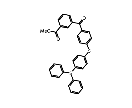 COC(=O)c1cccc(C(=O)c2ccc(Sc3ccc([S+](c4ccccc4)c4ccccc4)cc3)cc2)c1